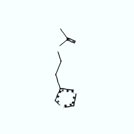 CC(C)C(=O)OCCc1cnco1